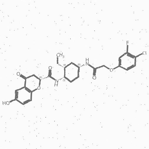 CC[C@@H]1C[C@H](NC(=O)COc2ccc(Cl)c(F)c2)CC[C@@H]1NC(=O)[C@H]1CC(=O)c2cc(O)ccc2O1